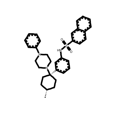 C[C@H]1CC[C@](c2cccc(NS(=O)(=O)c3ccc4ccccc4c3)c2)(N2CCN(c3ccccc3)CC2)CC1